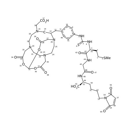 CSCC[C@H](NC(=S)Nc1ccc(CC2CN(CC(=O)O)CCN3CCN4CCN2CC(=O)OC(OC(=O)C3)OC(=O)C4)cc1)C(=O)NCC(=O)N[C@@H](CCCCN1C(=O)C=CC1=O)C(=O)O